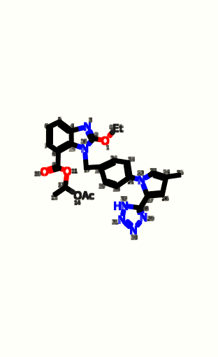 CCOc1nc2cccc(C(=O)OC(C)OC(C)=O)c2n1Cc1ccc(-n2cc(C)cc2-c2nnn[nH]2)cc1